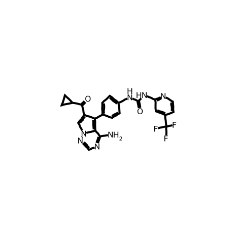 Nc1ncnn2cc(C(=O)C3CC3)c(-c3ccc(NC(=O)Nc4cc(C(F)(F)F)ccn4)cc3)c12